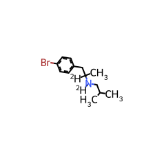 [2H]N(CC(C)C)C([2H])(C)Cc1ccc(Br)cc1